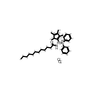 CCCCCCCCCCCC(=O)[NH][Hf+2]([C]1=C(C)C(C)=C(C)C1C)[SiH](c1ccccc1)c1ccccc1.[Cl-].[Cl-]